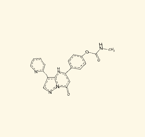 CNC(=O)Oc1ccc(-c2cc(=O)n3ncc(-c4ccccn4)c3[nH]2)cc1